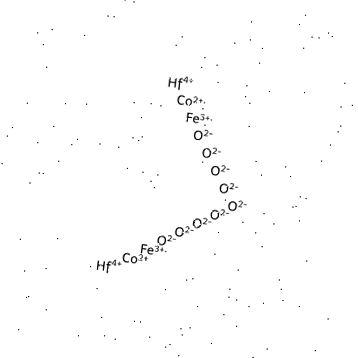 [Co+2].[Co+2].[Fe+3].[Fe+3].[Hf+4].[Hf+4].[O-2].[O-2].[O-2].[O-2].[O-2].[O-2].[O-2].[O-2].[O-2]